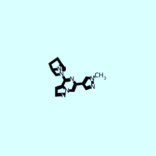 Cn1cc(-c2cn3nccc3c(N3CC4CCC(C3)N4)n2)cn1